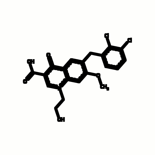 COc1cc2c(cc1Cc1cccc(Cl)c1Cl)c(=O)c(C(=O)O)cn2CCO